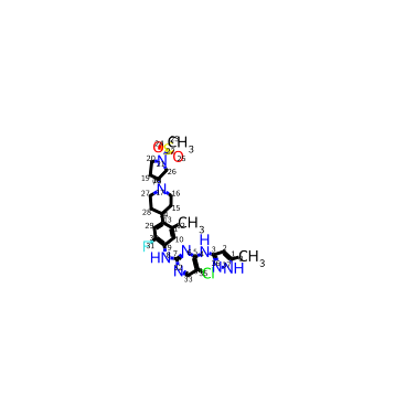 Cc1cc(Nc2nc(Nc3cc(C)c(C4CCN([C@@H]5CCN(S(C)(=O)=O)C5)CC4)cc3F)ncc2Cl)n[nH]1